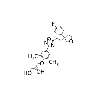 Cc1cc(-c2noc(CCC3(c4ccc(F)cc4)CCOC3)n2)cc(C)c1OC[C@@H](O)CO